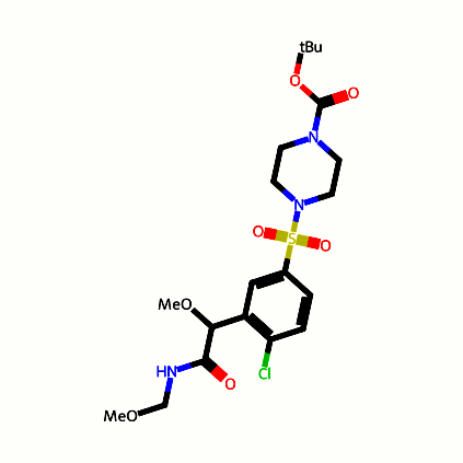 COCNC(=O)C(OC)c1cc(S(=O)(=O)N2CCN(C(=O)OC(C)(C)C)CC2)ccc1Cl